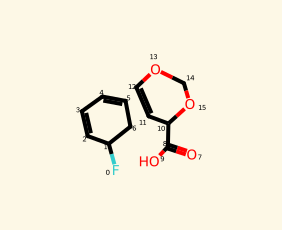 FC1C=CC=CC1.O=C(O)C1C=COCO1